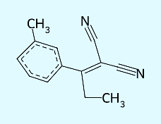 CCC(=C(C#N)C#N)c1cccc(C)c1